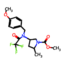 COC(=O)N1CC(N(Cc2ccc(OC)cc2)C(=O)C(F)(F)F)CC1C